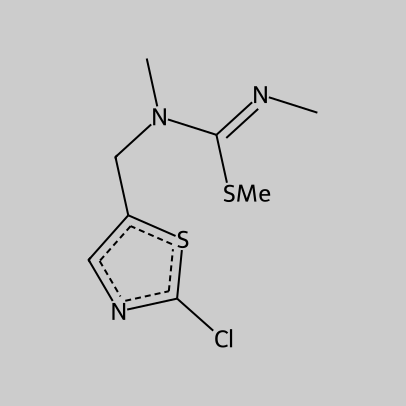 C/N=C(\SC)N(C)Cc1cnc(Cl)s1